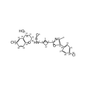 Cc1nc(C23CC(NC(=O)[C@H]4C[C@@H](O)c5cc(Cl)ccc5O4)(C2)C3)oc1-c1ccc(Cl)cc1